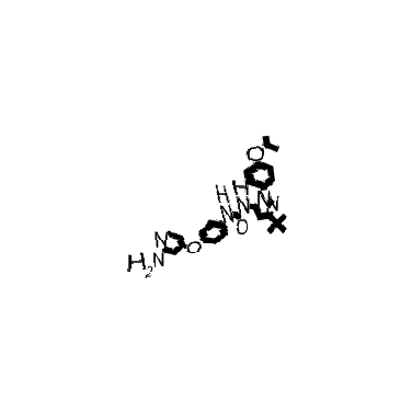 CC(C)Oc1ccc(-n2nc(C(C)(C)C)cc2NC(=O)Nc2ccc(Oc3ccnc(N)c3)cc2)cc1